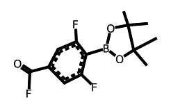 CC1(C)OB(c2c(F)cc(C(=O)F)cc2F)OC1(C)C